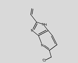 C=Cc1nc2nc(CCl)ccc2[nH]1